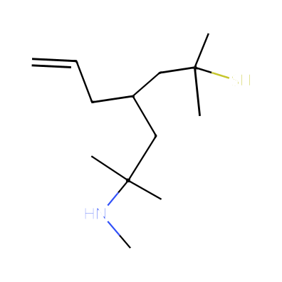 C=CCC(CC(C)(C)S)CC(C)(C)NC